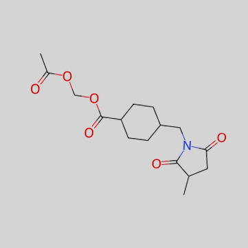 CC(=O)OCOC(=O)C1CCC(CN2C(=O)CC(C)C2=O)CC1